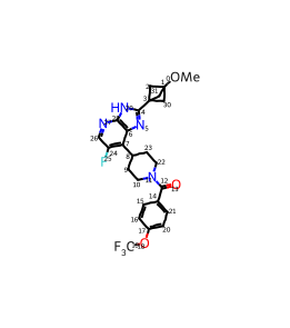 COC12CC(c3nc4c(C5CCN(C(=O)c6ccc(OC(F)(F)F)cc6)CC5)c(F)cnc4[nH]3)(C1)C2